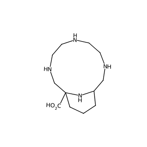 O=C(O)C12CCCC(CNCCNCCNC1)N2